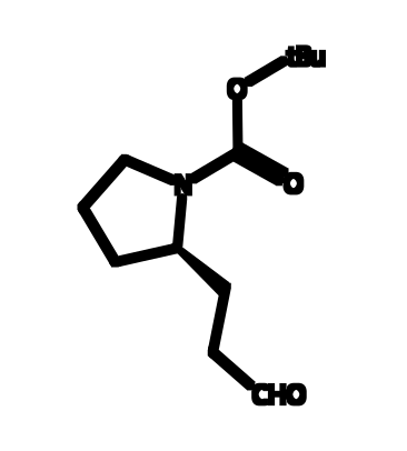 CC(C)(C)OC(=O)N1CCC[C@@H]1CCC=O